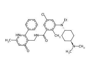 CCN(c1cc(Cl)cc(C(=O)NCc2c(-c3ccccc3)[nH]c(C)cc2=O)c1C)[C@H]1CC[C@H](N(C)C)CC1